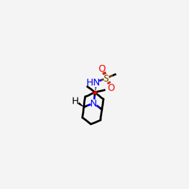 CC(C)N1C2CCC[C@@H]1C[C@H](NS(C)(=O)=O)C2